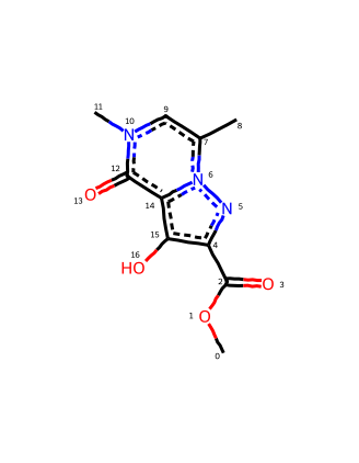 COC(=O)c1nn2c(C)cn(C)c(=O)c2c1O